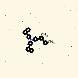 Cc1cccc(-c2cc(C)cc(-c3ccc(N(c4ccc(-c5cccc6ccccc56)cc4)c4ccc(-c5cccc6ccccc56)cc4)cc3)c2)c1